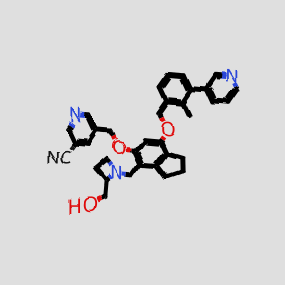 Cc1c(COc2cc(OCc3cncc(C#N)c3)c(CN3CCC3CO)c3c2CCC3)cccc1-c1cccnc1